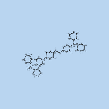 O=P(c1ccccc1)(c1ccccc1)c1ccc(-c2ccc(C=Cc3ccc(N(c4ccccc4)c4ccccc4)cc3)cc2)cc1